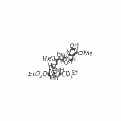 CCOC(=O)[C@@H](NP(=O)(N[C@H](C(=O)OCC)C(C)C)OC[C@@H](OC)C(O)[C@](C)(O)[C@@H](C)n1cnc2c(OC)nc(O)nc21)C(C)C